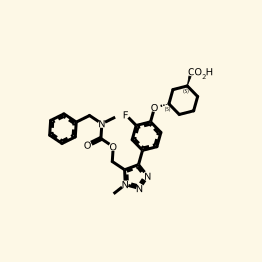 CN(Cc1ccccc1)C(=O)OCc1c(-c2ccc(O[C@H]3CCC[C@H](C(=O)O)C3)c(F)c2)nnn1C